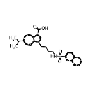 CC(C)c1ccc2c(CCCCNS(=O)(=O)c3ccc4ccccc4c3)cc(C(=O)O)c-2cc1